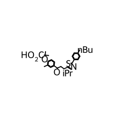 CCCCc1ccc(-c2nc(C(C)C)c(CCC(=O)c3ccc(OC(C)(C)C(=O)O)c(C)c3)s2)cc1